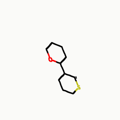 [C]1SCCCC1C1CCCCO1